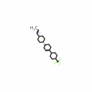 C/C=C/C1CCC([C@H]2CC=C(C3CCC(C(F)(F)F)CC3)CC2)CC1